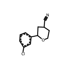 N#CC1CCOC(c2cccc(Cl)c2)C1